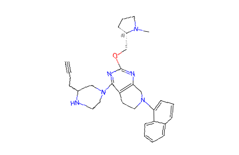 C#CCC1CN(c2nc(OC[C@@H]3CCCN3C)nc3c2CCN(c2cccc4ccccc24)C3)CCN1